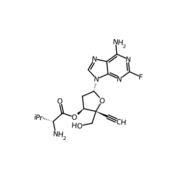 C#C[C@]1(CO)O[C@@H](n2cnc3c(N)nc(F)nc32)C[C@@H]1OC(=O)[C@H](N)C(C)C